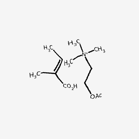 C/C=C(\C)C(=O)O.CC(=O)OCC[N+](C)(C)C